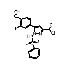 COc1ccc(-c2cc(C(Cl)Cl)nn2NS(=O)(=O)c2ccccc2)cc1F